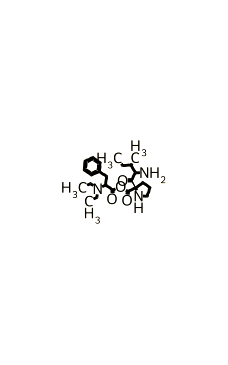 CCC(C)C(N)C(=O)[C@@]1(C(=O)OC(=O)C(Cc2ccccc2)N(CC)CC)CCCN1